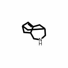 C1=C2CC3CNCC2CC1C3